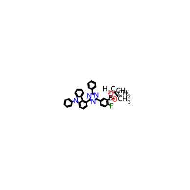 CC1(C)OB(c2cc(-c3nc(-c4ccccc4)nc(-c4cccc5c4c4ccccc4n5-c4ccccc4)n3)ccc2F)OC1(C)C